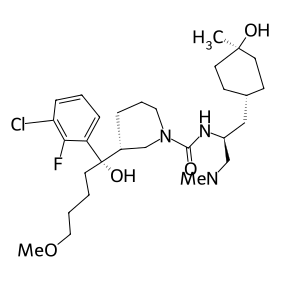 CNC[C@H](C[C@H]1CC[C@](C)(O)CC1)NC(=O)N1CCC[C@@H]([C@@](O)(CCCCOC)c2cccc(Cl)c2F)C1